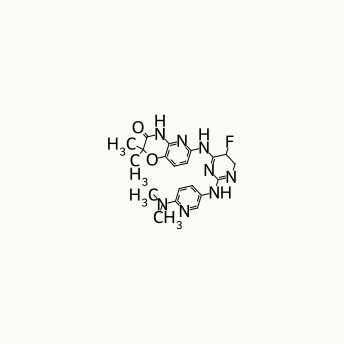 CN(C)c1ccc(NC2=NCC(F)C(Nc3ccc4c(n3)NC(=O)C(C)(C)O4)=N2)cn1